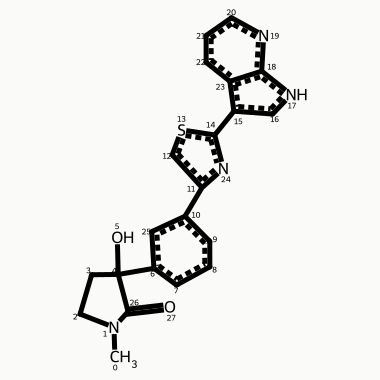 CN1CCC(O)(c2cccc(-c3csc(-c4c[nH]c5ncccc45)n3)c2)C1=O